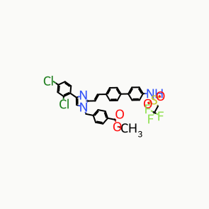 COC(=O)c1ccc(Cn2cc(-c3ccc(Cl)cc3Cl)nc2C=Cc2ccc(-c3ccc(NS(=O)(=O)CC(F)(F)F)cc3)cc2)cc1